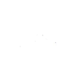 CC(C)(O)COc1cnc2[nH]cc(/C=C/C(N)=O)c2c1